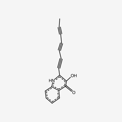 CC#CC#CC#Cc1[nH]c2ccccc2c(=O)c1O